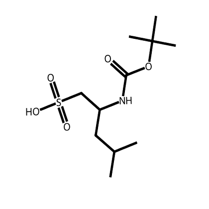 CC(C)CC(CS(=O)(=O)O)NC(=O)OC(C)(C)C